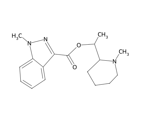 CC(OC(=O)c1nn(C)c2ccccc12)C1CCCCN1C